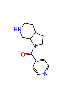 O=C(c1ccncc1)N1CCC2CCNCC21